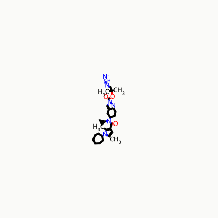 Cc1cc(C(=O)N(C2CC2)C2CCc3nn(C(=O)OC(C)(C)CN=[N+]=[N-])cc3C2)c(C)n1C1CCCCCC1